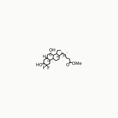 COC(=O)CC[C@@H](C)[C@H]1CCC2C3C(CC[C@@]21C)[C@@]1(C)CC(F)(F)[C@@H](O)C[C@H]1C[C@@H]3O